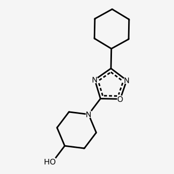 OC1CCN(c2nc(C3CCCCC3)no2)CC1